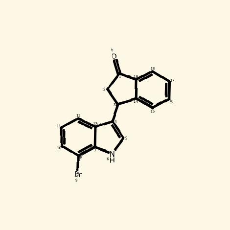 O=C1CC(c2c[nH]c3c(Br)cccc23)c2ccccc21